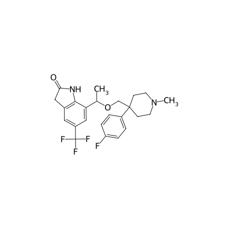 CC(OCC1(c2ccc(F)cc2)CCN(C)CC1)c1cc(C(F)(F)F)cc2c1NC(=O)C2